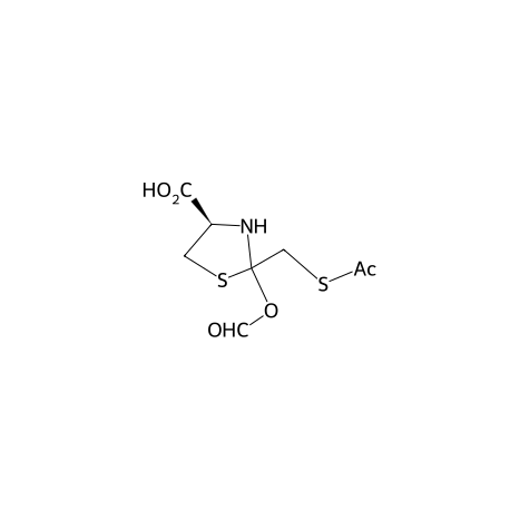 CC(=O)SCC1(OC=O)N[C@H](C(=O)O)CS1